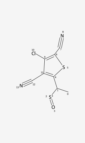 CC([S+]=O)c1sc(C#N)c(Cl)c1C#N